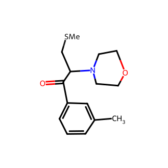 CSCC(C(=O)c1cccc(C)c1)N1CCOCC1